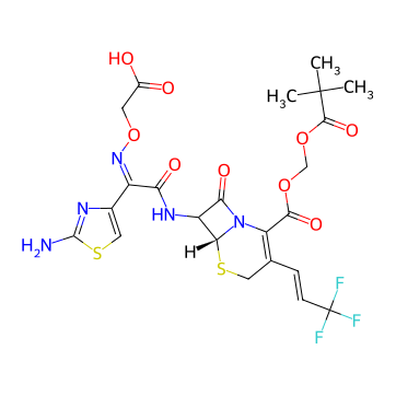 CC(C)(C)C(=O)OCOC(=O)C1=C(/C=C/C(F)(F)F)CS[C@@H]2C(NC(=O)/C(=N\OCC(=O)O)c3csc(N)n3)C(=O)N12